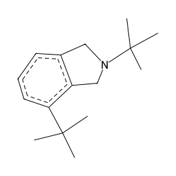 CC(C)(C)c1cccc2c1CN(C(C)(C)C)C2